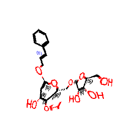 OC[C@@H]1O[C@@H](OC[C@H]2O[C@@H](OC/C=C/c3ccccc3)C[C@@H](O)[C@@H]2O)[C@H](O)[C@H]1O